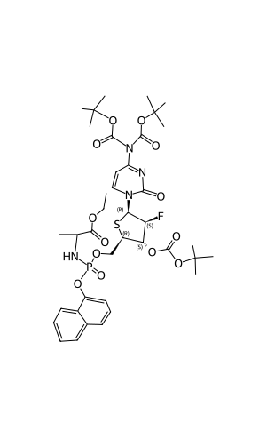 CCOC(=O)C(C)NP(=O)(OC[C@H]1S[C@@H](n2ccc(N(C(=O)OC(C)(C)C)C(=O)OC(C)(C)C)nc2=O)[C@@H](F)[C@@H]1OC(=O)OC(C)(C)C)Oc1cccc2ccccc12